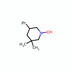 CC(C)C1CN(O)CC(C)(C)C1